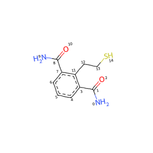 NC(=O)c1cccc(C(N)=O)c1CCS